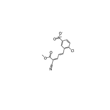 COC(=O)C(C#N)=C/C=C/c1cc([N+](=O)[O-])ccc1Cl